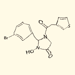 O=C1CN(C(=O)c2ccsc2)C(c2cccc(Br)c2)N1O